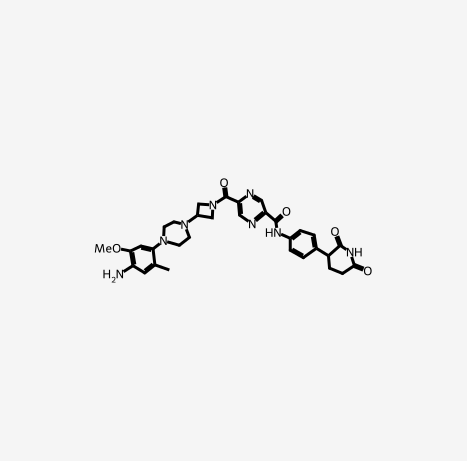 COc1cc(N2CCN(C3CN(C(=O)c4cnc(C(=O)Nc5ccc(C6CCC(=O)NC6=O)cc5)cn4)C3)CC2)c(C)cc1N